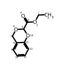 CCOC(=O)C1OCc2ccccc2O1